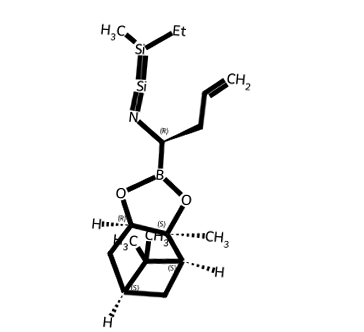 C=CC[C@H](N=[Si]=[Si](C)CC)B1O[C@@H]2C[C@@H]3C[C@@H](C3(C)C)[C@]2(C)O1